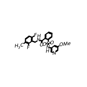 COc1cncc(NS(=O)(=O)c2ccccc2C(=O)NCc2c(F)ccc(C)c2F)c1